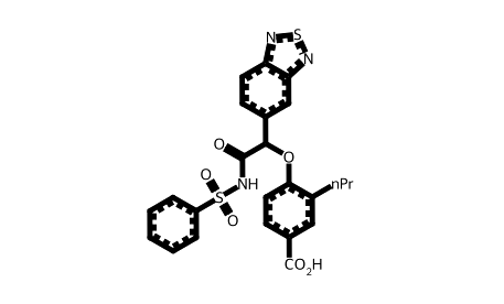 CCCc1cc(C(=O)O)ccc1OC(C(=O)NS(=O)(=O)c1ccccc1)c1ccc2nsnc2c1